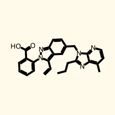 C=Cc1c2cc(Cn3c(CCC)nc4c(C)ccnc43)ccc2nn1-c1ccccc1C(=O)O